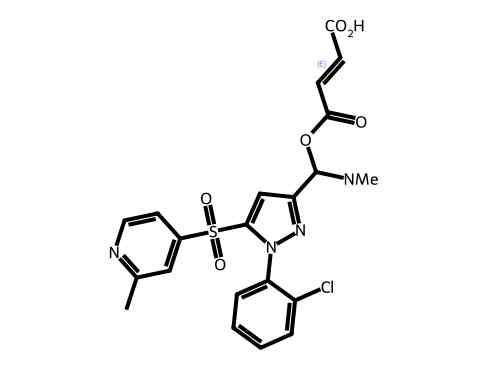 CNC(OC(=O)/C=C/C(=O)O)c1cc(S(=O)(=O)c2ccnc(C)c2)n(-c2ccccc2Cl)n1